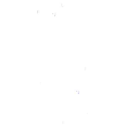 CCN(CC)c1ccc2c(Cl)c(-c3nc(Cl)c(Cl)s3)c(=O)oc2c1